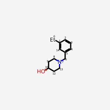 CCc1cccc(CN2CCC(O)CC2)c1